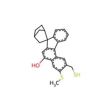 CSc1cc2c(O)cc3c(c2cc1CS)-c1ccccc1C31CC2CCC1C2